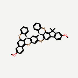 COc1ccc2c(c1)C(C)(C)c1c-2cc2c3c1Sc1ccccc1B3c1cc3c(cc1S2)Sc1c2c(cc4cc(OC)ccc14)Sc1ccccc1B32